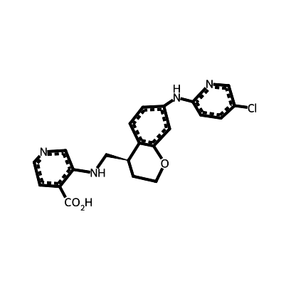 O=C(O)c1ccncc1NC[C@@H]1CCOc2cc(Nc3ccc(Cl)cn3)ccc21